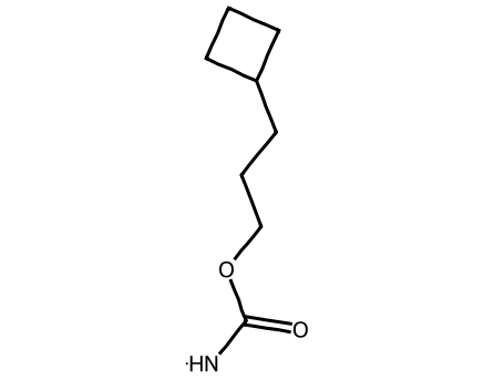 [NH]C(=O)OCCCC1CCC1